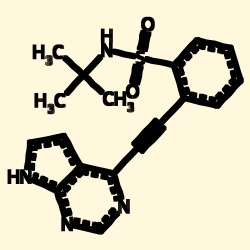 CC(C)(C)NS(=O)(=O)c1ccccc1C#Cc1ncnc2[nH]ccc12